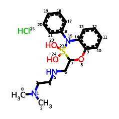 CN(C)CCNCC1Oc2ccccc2N(c2ccccc2)S1(O)O.Cl